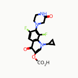 O=C1CN(c2c(F)cc3c(=O)c(OC(=O)O)cn(C4CC4)c3c2F)CCN1